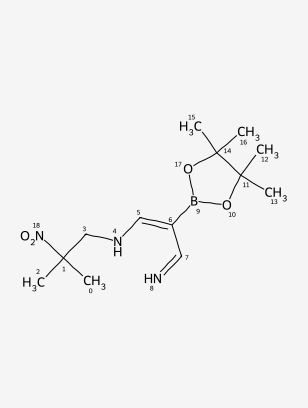 CC(C)(CN/C=C(\C=N)B1OC(C)(C)C(C)(C)O1)[N+](=O)[O-]